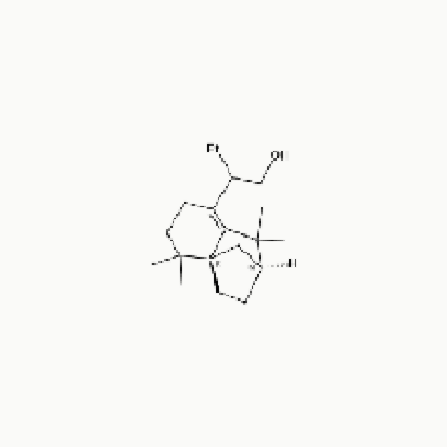 CCC(CO)C1=C2C(C)(C)[C@H]3CC[C@@]2(C3)C(C)(C)CC1